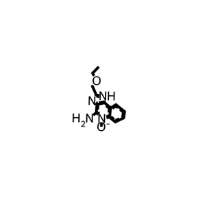 CCOCc1nc2c(N)[n+]([O-])c3ccccc3c2[nH]1